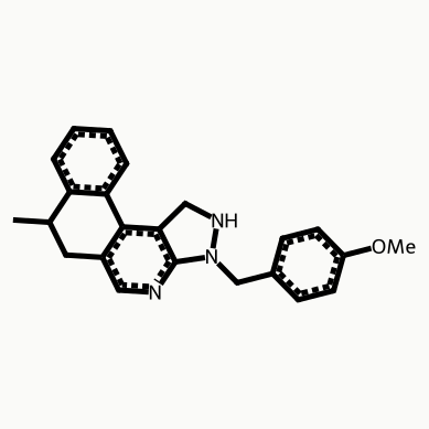 COc1ccc(CN2NCc3c2ncc2c3-c3ccccc3C(C)C2)cc1